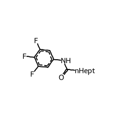 CCCCCCCC(=O)Nc1cc(F)c(F)c(F)c1